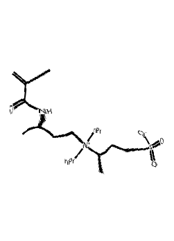 C=C(C)C(=O)NC(C)CC[N+](CCC)(CCC)C(C)CCS(=O)(=O)[O-]